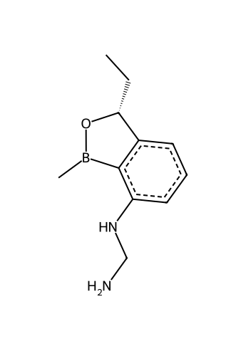 CC[C@H]1OB(C)c2c(NCN)cccc21